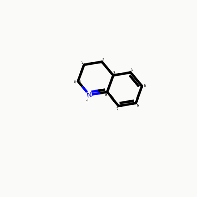 [C]1CCC2C=CC=CC2=N1